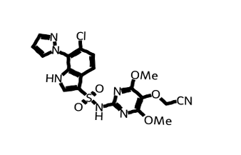 COc1nc(NS(=O)(=O)c2c[nH]c3c(-n4cccn4)c(Cl)ccc23)nc(OC)c1OCC#N